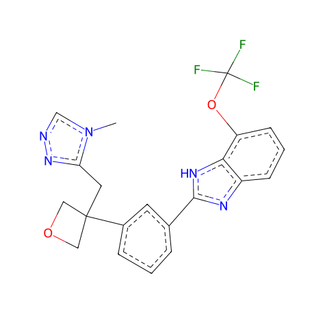 Cn1cnnc1CC1(c2cccc(-c3nc4cccc(OC(F)(F)F)c4[nH]3)c2)COC1